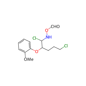 COc1ccccc1OC(CCCCl)C(Cl)NOC=O